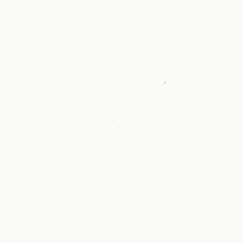 CCCc1ccc(OC(=O)c2ccc(OC(=O)c3ccc(CCC)cc3)cc2)cc1